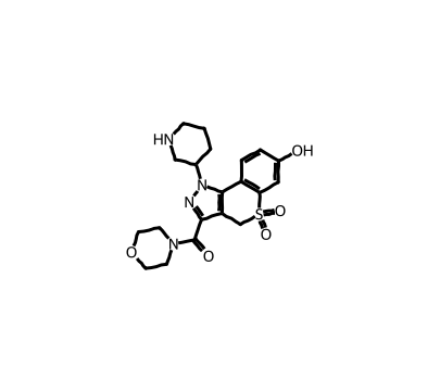 O=C(c1nn(C2CCCNC2)c2c1CS(=O)(=O)c1cc(O)ccc1-2)N1CCOCC1